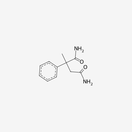 CC(CC(N)=O)(C(N)=O)c1ccccc1